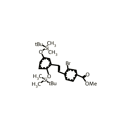 COC(=O)c1ccc(/C=C/c2cc(O[Si](C)(C)C(C)(C)C)ccc2O[Si](C)(C)C(C)(C)C)c(Br)c1